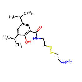 CC(C)c1cc(C(=O)NCCSSCCN)c(O)c(C(C)C)c1